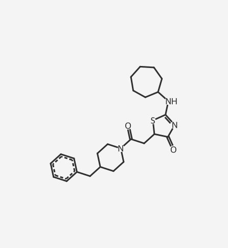 O=C1N=C(NC2CCCCCC2)SC1CC(=O)N1CCC(Cc2ccccc2)CC1